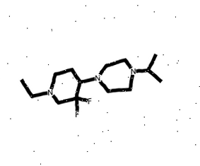 CCN1CCC(N2CCN(C(C)C)CC2)C(F)(F)C1